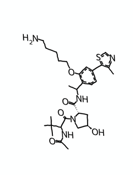 CC(=O)NC(C(=O)N1C[C@H](O)C[C@H]1C(=O)NC(C)c1ccc(-c2scnc2C)cc1OCCCCCN)C(C)(C)C